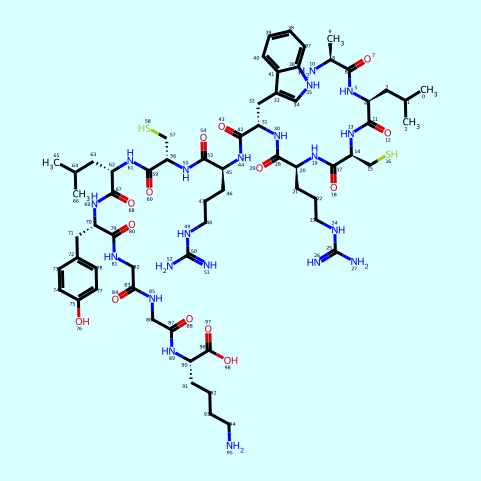 CC(C)C[C@H](NC(=O)[C@H](C)N)C(=O)N[C@@H](CS)C(=O)N[C@@H](CCCNC(=N)N)C(=O)N[C@@H](Cc1c[nH]c2ccccc12)C(=O)N[C@@H](CCCNC(=N)N)C(=O)N[C@@H](CS)C(=O)N[C@@H](CC(C)C)C(=O)N[C@@H](Cc1ccc(O)cc1)C(=O)NCC(=O)NCC(=O)N[C@@H](CCCCN)C(=O)O